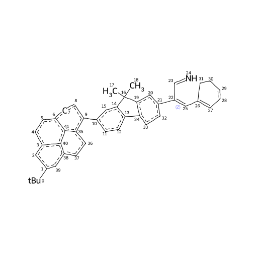 CC(C)(C)c1cc2ccc3ccc(-c4ccc5c(c4)C(C)(C)c4cc(/C(C=N)=C/C6=CC=CCC6)ccc4-5)c4ccc(c1)c2c34